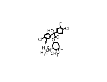 C[N+](C)(C)C1C[C@H](OC(=O)C(O)(c2ccc(Cl)c(F)c2)c2ccc(Cl)c(F)c2)CC[C@H]2OC12